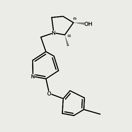 Cc1ccc(Oc2ccc(CN3CC[C@H](O)[C@@H]3C)cn2)cc1